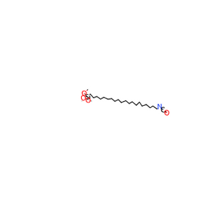 CO[Si](CCCCCCCCCCCCCCCCCCCCN=C=O)(OC)OC